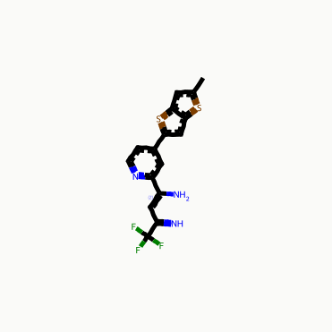 Cc1cc2sc(-c3ccnc(/C(N)=C/C(=N)C(F)(F)F)c3)cc2s1